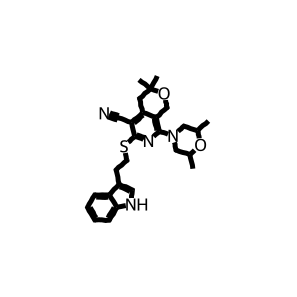 CC1CN(c2nc(SCCc3c[nH]c4ccccc34)c(C#N)c3c2COC(C)(C)C3)CC(C)O1